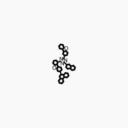 c1ccc2cc(-c3nc(-c4ccc5oc6ccccc6c5c4)nc(-c4cccc5oc6cc(-c7cc8ccccc8c8ccccc78)ccc6c45)n3)ccc2c1